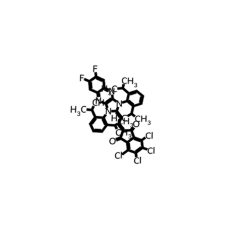 CC(C)c1cccc(C(C)C)c1N1C(=CC=C2C(=O)c3c(Cl)c(Cl)c(Cl)c(Cl)c3C2=O)N(c2c(C(C)C)cccc2C(C)C)c2nc3cc(F)c(F)cc3nc21